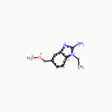 CCn1c(N)nc2cc(COC)ccc21